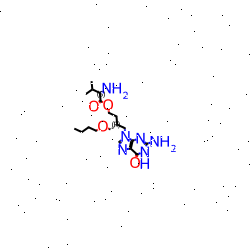 CCCCOC[C@H](CCOC(=O)[C@@H](N)C(C)C)Cn1cnc2c(=O)[nH]c(N)nc21